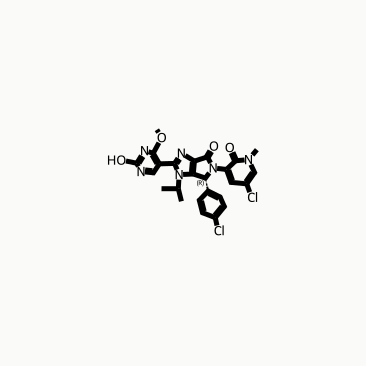 COc1nc(O)ncc1-c1nc2c(n1C(C)C)[C@@H](c1ccc(Cl)cc1)N(c1cc(Cl)cn(C)c1=O)C2=O